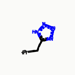 C[C](C)Cc1nnn[nH]1